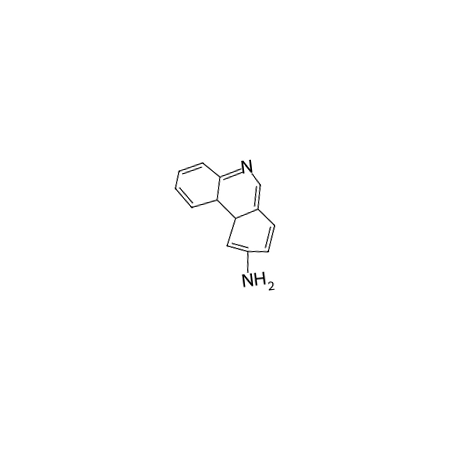 NC1=CC2C(=CN=C3C=CC=CC32)C=C1